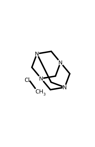 C1N2CN3CN1CN(C2)C3.CCl